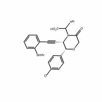 CCCC(C(=O)O)N1C(=O)CO[C@H](c2ccc(Cl)cc2)[C@@H]1C#Cc1ccccc1NC(C)=O